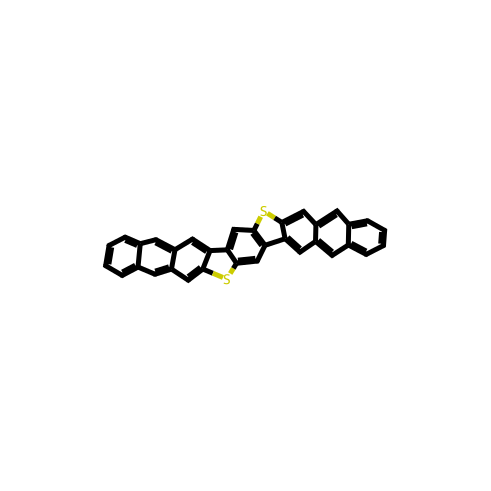 c1ccc2cc3cc4c(cc3cc2c1)sc1cc2c(cc14)sc1cc3cc4ccccc4cc3cc12